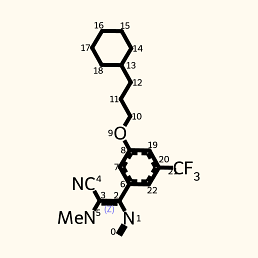 C=N/C(=C(/C#N)NC)c1cc(OCCCC2CCCCC2)cc(C(F)(F)F)c1